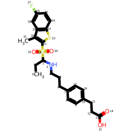 CCC(NCCCc1ccc(CCC(=O)O)cc1)S(=O)(=O)c1sc2ccc(F)cc2c1C